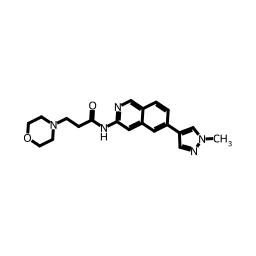 Cn1cc(-c2ccc3cnc(NC(=O)CCN4CCOCC4)cc3c2)cn1